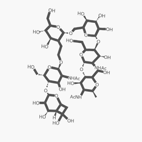 CC(=O)NC1C(O)[C@H](O[C@@H]2OC3CC(O)(O)[C@@H]3[C@H](O)C2O)[C@H](CO)O[C@H]1OCCC1[C@@H](OCC2O[C@@H](O[C@@H]3C(CO)O[C@@H](O[C@@H]4C(CO)O[C@@H](C)C(NC(C)=O)[C@H]4O)C(NC(C)=O)[C@H]3O)C(O)[C@@H](O)[C@@H]2O)OC(CO)[C@@H](O)[C@@H]1O